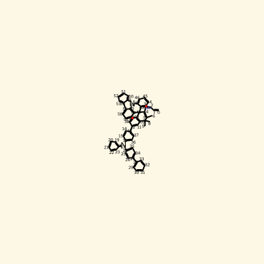 C=C/C=C\C1=C(C)C(C)(C)c2cc(-c3ccc(N(c4ccccc4)c4ccc(-c5ccccc5)cc4)cc3)ccc2C12c1ccccc1-n1c3ccccc3c3cccc2c31